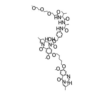 COCCOCCOCCC(=O)N[C@H](C(=O)N[C@@H](C)C(=O)Nc1ccc(COC(=O)N2c3cc(OCCCCCOc4cc5c(cc4OC)C(=O)N4C=C(C)C[C@H]4C=N5)c(OC)cc3C(=O)N3C=C(C)C[C@H]3[C@@H]2O)cc1)C(C)C